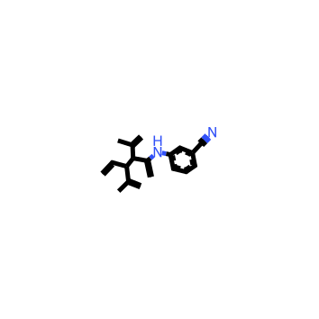 C=CC(C(=C)C)C(C(=C)C)C(=C)Nc1cccc(C#N)c1